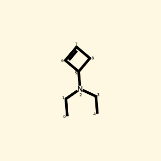 CCN(CC)C1C=CC1